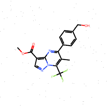 COC(=O)c1cnn2c(C(F)(F)F)c(C)c(-c3ccc(CO)cc3)nc12